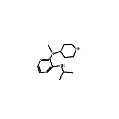 CC(C)Nc1cccnc1N(C)C1CCNCC1